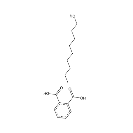 CCCCCCCCCO.O=C(O)c1ccccc1C(=O)O